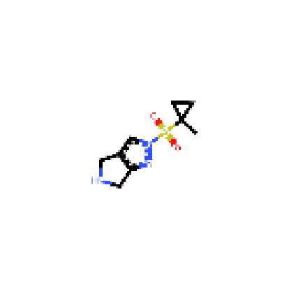 CC1(S(=O)(=O)n2cc3c(n2)CNC3)CC1